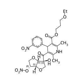 CCOCCCOC(=O)C1=C(C)NC(C)=C(C(=O)[C@]2(O)CO[C@@H]3[C@H](O[N+](=O)[O-])CO[C@@H]32)C1c1cccc([N+](=O)[O-])c1